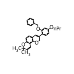 CCCOc1ccc(C2=Cc3ccc4c(c3OC2)C=CC(C)(C)O4)c(OCc2ccccc2)c1